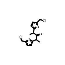 CC(C(=O)C(C)c1ccc(CCl)o1)c1ccc(CCl)o1